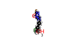 O=C(c1cscn1)N1CCN(Cc2ccc(-c3ccc(C(O)(F)C(F)(F)F)cc3)cc2)CC1